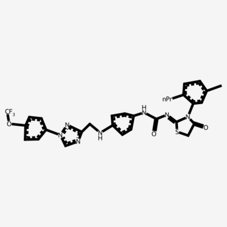 CCCc1ccc(C)cc1N1C(=O)CSC1=NC(=O)Nc1ccc(NCc2ncn(-c3ccc(OC(F)(F)F)cc3)n2)cc1